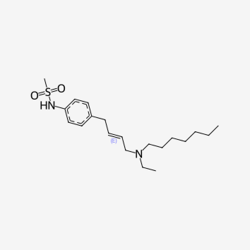 CCCCCCCN(CC)C/C=C/Cc1ccc(NS(C)(=O)=O)cc1